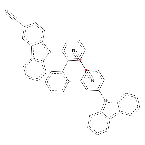 N#Cc1ccc2c(c1)c1ccccc1n2-c1cccc(C#N)c1-c1ccccc1-c1cc(-n2c3ccccc3c3ccccc32)ccc1C#N